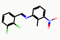 Cc1c(/N=C/c2cccc(Cl)c2Cl)cccc1[N+](=O)[O-]